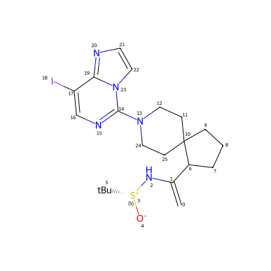 C=C(N[S@+]([O-])C(C)(C)C)C1CCCC12CCN(c1ncc(I)c3nccn13)CC2